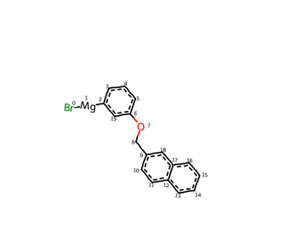 [Br][Mg][c]1cccc(OCc2ccc3ccccc3c2)c1